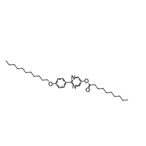 CCCCCCCCCCCOc1ccc(-c2ncc(OC(=O)CCCCCCCCC)cn2)cc1